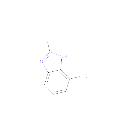 COc1cccc2nc(C(=O)O)[nH]c12